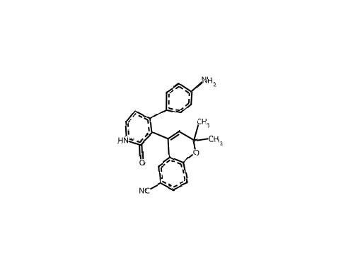 CC1(C)C=C(c2c(-c3ccc(N)cc3)cc[nH]c2=O)c2cc(C#N)ccc2O1